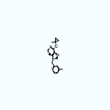 Cc1ccnc(Cn2cnc3c(OC4(C)CC4)ncnc32)c1